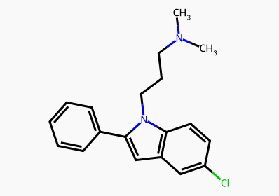 CN(C)CCCn1c(-c2ccccc2)cc2cc(Cl)ccc21